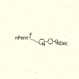 CCCCCCCCCCOc1ccc(-c2ccc(CCCC(F)CCCCC)cn2)cc1